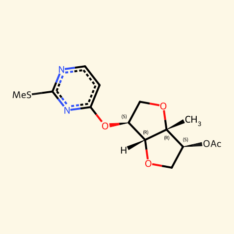 CSc1nccc(O[C@H]2CO[C@]3(C)[C@@H](OC(C)=O)CO[C@H]23)n1